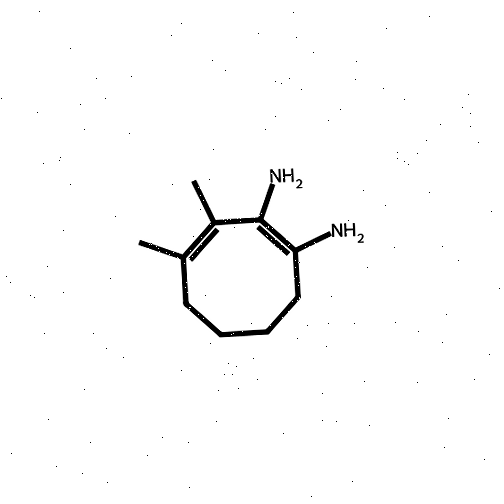 C/C1=C(C)/C(N)=C(/N)CCCC1